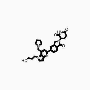 O=C1CCC(N2Cc3cc(-c4cc(CN5CCCC5)c5c(ccn5CCCO)n4)ccc3C2=O)C(=O)N1